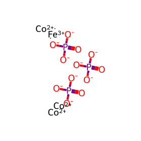 O=P([O-])([O-])[O-].O=P([O-])([O-])[O-].O=P([O-])([O-])[O-].[Co+2].[Co+2].[Co+2].[Fe+3]